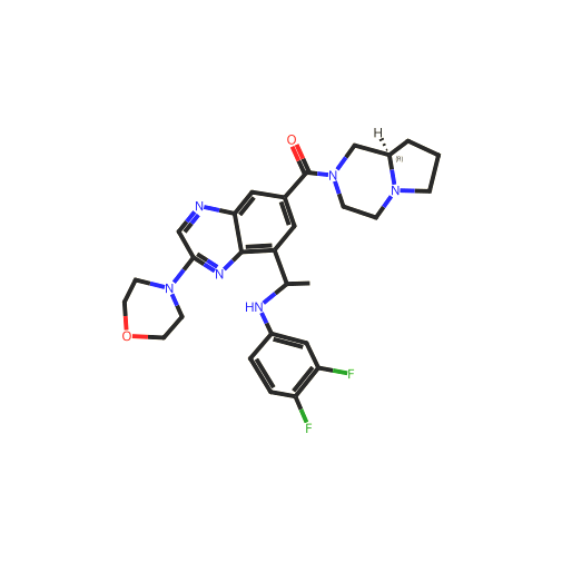 CC(Nc1ccc(F)c(F)c1)c1cc(C(=O)N2CCN3CCC[C@@H]3C2)cc2ncc(N3CCOCC3)nc12